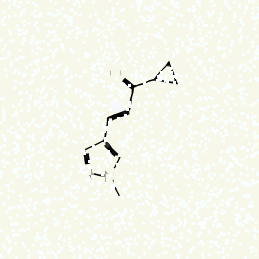 Cn1cc(/C=C/C(=O)C2CC2)cn1